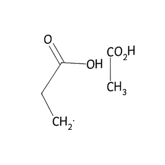 CC(=O)O.[CH2]CC(=O)O